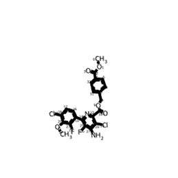 COC(=O)c1ccc(COC(=O)c2nc(-c3ccc(Cl)c(OC)c3F)c(F)c(N)c2Cl)cc1